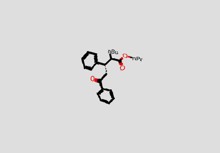 CCCCC(C(=O)OCCC)[C@H](CC(=O)c1ccccc1)c1ccccc1